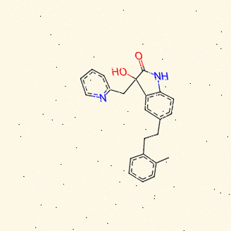 Cc1ccccc1CCc1ccc2c(c1)C(O)(Cc1ccccn1)C(=O)N2